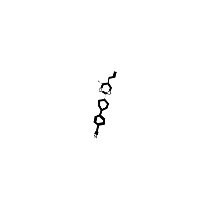 C=CC[C@H]1CO[C@H](C2CCC(c3ccc(C#N)cc3)CC2)O[C@@H]1C